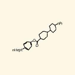 CCCCCCCc1ccc(OC(=O)C2CCC(C3CCC(CCC)CC3)CC2)cc1